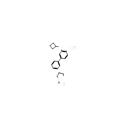 COc1ccc(-c2cccc([C@@H]3COB(O)C3)c2)cc1OC1CCC1